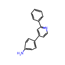 Nc1ccc(-c2ccnc(-c3ccccc3)c2)cc1